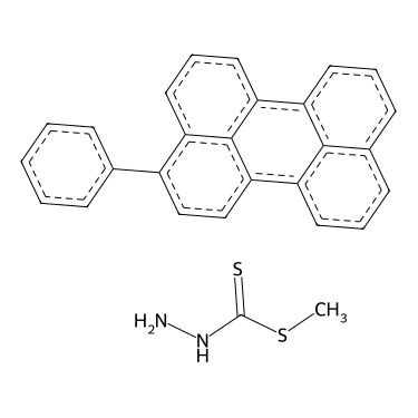 CSC(=S)NN.c1ccc(-c2ccc3c4cccc5cccc(c6cccc2c63)c54)cc1